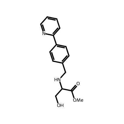 COC(=O)C(CO)NCc1ccc(-c2ccccn2)cc1